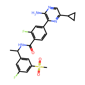 CC(NC(=O)c1ccc(-c2nc(C3CC3)cnc2N)cc1F)c1cc(F)cc(S(C)(=O)=O)c1